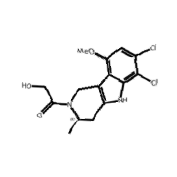 COc1cc(Cl)c(Cl)c2[nH]c3c(c12)CN(C(=O)CO)[C@H](C)C3